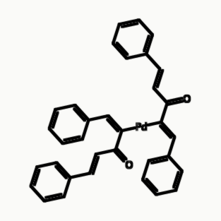 O=C(C=Cc1ccccc1)[C](=Cc1ccccc1)[Pd][C](=Cc1ccccc1)C(=O)C=Cc1ccccc1